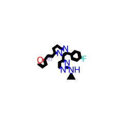 Fc1ccc(-c2nc3n(c2-c2ccnc(NC4CC4)n2)C(/C=C/c2ccco2)CC3)cc1